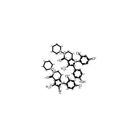 Cc1c2c(n(-c3ccc(Cl)cc3Cl)c1-c1ccc(O)cc1)CCN(N1CCCCC1)C2=O.Cc1c2c(n(-c3ccc(Cl)cc3Cl)c1Br)CCN(N1CCCCC1)C2=O